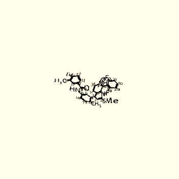 CSc1cc(-c2cc(NC(=O)c3ccc(F)c(C)c3)ccc2C)c2c(n1)C(c1c(F)cccc1F)[NH+]([O-])C=C2